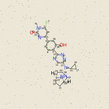 Cn1c(F)cc(-c2ccc(-c3ncc(N(C4CC4)[C@@H]4C[C@H]5CC[C@@H](C4)N5)nn3)c(O)c2)nc1=O